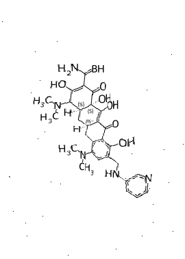 B=C(N)C1=C(O)C(N(C)C)[C@@H]2C[C@@H]3Cc4c(N(C)C)cc(CNc5cccnc5)c(O)c4C(=O)C3=C(O)[C@]2(O)C1=O